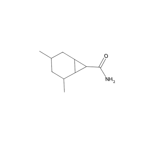 CC1CC(C)C2C(C1)C2C(N)=O